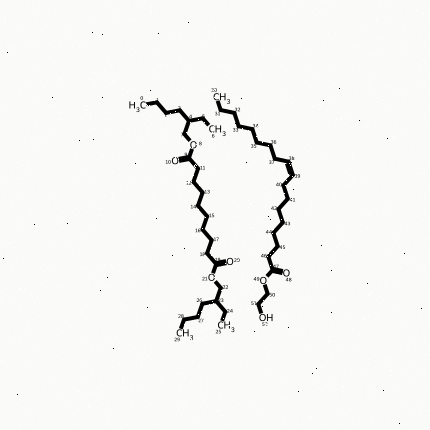 CCCCC(CC)COC(=O)CCCCCCCCC(=O)OCC(CC)CCCC.CCCCCCCC/C=C\CCCCCCCC(=O)OCCO